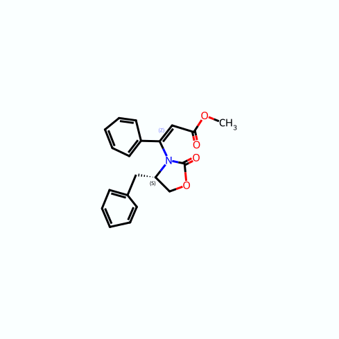 COC(=O)/C=C(/c1ccccc1)N1C(=O)OC[C@@H]1Cc1ccccc1